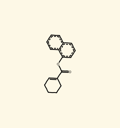 O=C(Oc1cccc2ccccc12)C1=CCCCC1